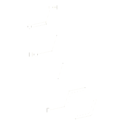 O=C(O)CC(O)CCc1ccccc1F